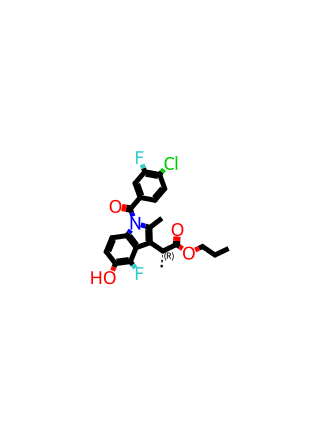 CCCOC(=O)[C@H](C)c1c(C)n(C(=O)c2ccc(Cl)c(F)c2)c2ccc(O)c(F)c12